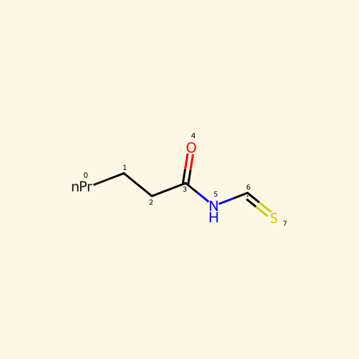 CCCCCC(=O)N[C]=S